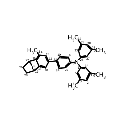 Cc1cc(C)cc(N(c2ccc(-c3cc(C)c4c(c3)C3CCC4C3)cc2)c2cc(C)cc(C)c2)c1